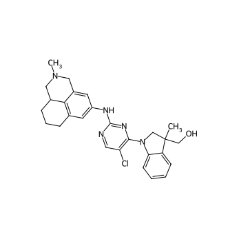 CN1Cc2cc(Nc3ncc(Cl)c(N4CC(C)(CO)c5ccccc54)n3)cc3c2C(CCC3)C1